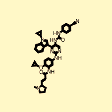 CN1CCCC1/C=C/C(=O)Nc1cc(Nc2ncc(NC(=O)Nc3ccc(C#N)cc3)c(-c3cn(C4CC4)c4ccccc34)n2)ccc1OC1CC1